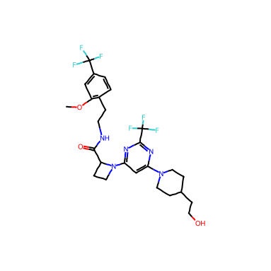 COc1cc(C(F)(F)F)ccc1CCNC(=O)C1CCN1c1cc(N2CCC(CCO)CC2)nc(C(F)(F)F)n1